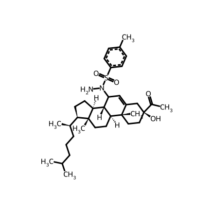 CC(=O)[C@]1(O)CC[C@@]2(C)C(=CC(N(N)S(=O)(=O)c3ccc(C)cc3)[C@H]3[C@@H]4CC[C@H]([C@H](C)CCCC(C)C)[C@@]4(C)CC[C@@H]32)C1